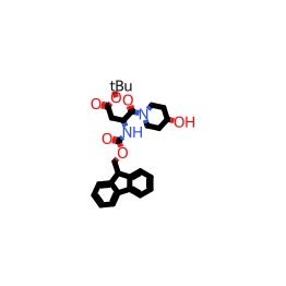 CC(C)(C)OC(=O)CC(NC(=O)OCC1c2ccccc2-c2ccccc21)C(=O)N1CCC(O)CC1